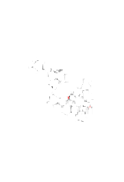 N/C(=C\C(NCc1cccc(-c2ccc3c(c2)C2(C4=C3C=CCN4)c3ccccc3N(c3ccccc3)c3ccccc32)c1)c1ccccc1)c1ccccc1